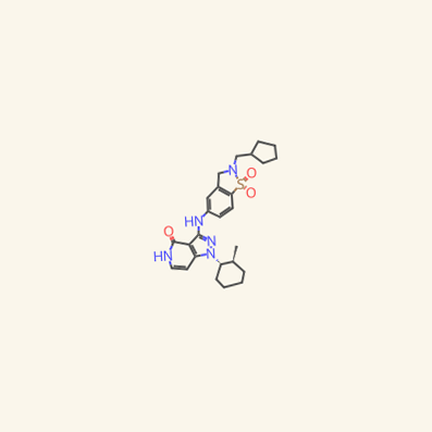 C[C@H]1CCCC[C@@H]1n1nc(Nc2ccc3c(c2)CN(CC2CCCC2)S3(=O)=O)c2c(=O)[nH]ccc21